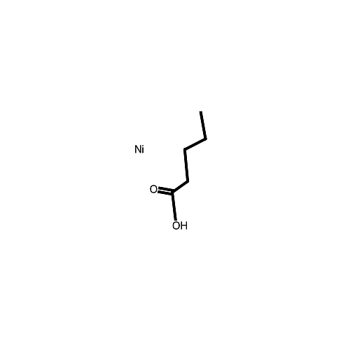 CCCCC(=O)O.[Ni]